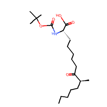 CCCCC[C@H](C)C(=O)CCCCC[C@H](NC(=O)OC(C)(C)C)C(=O)O